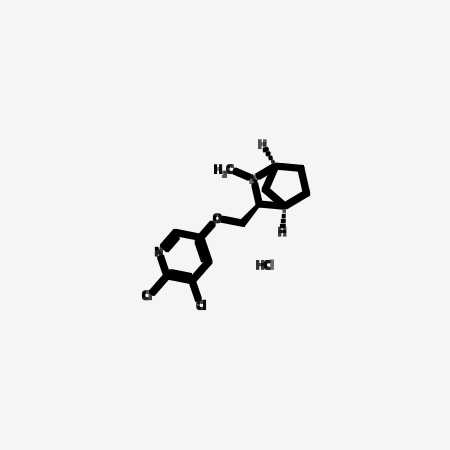 CN1[C@H]2CC[C@H](C2)[C@H]1COc1cnc(Cl)c(Cl)c1.Cl